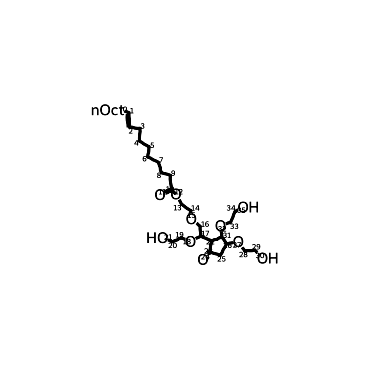 CCCCCCCCC=CCCCCCCCC(=O)OCCOCC(OCCO)C1C(=O)CC(OCCO)C1OCCO